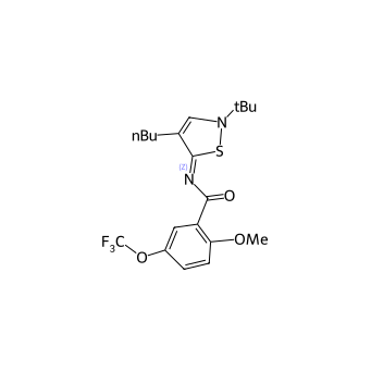 CCCCc1cn(C(C)(C)C)s/c1=N\C(=O)c1cc(OC(F)(F)F)ccc1OC